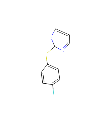 Fc1ccc(S[C]2N=CC=CN2)cc1